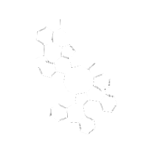 C=C1CC2C(CCC3N(c4ccccc4)C(c4ccccc4C)=C(c4ccccc4C)N3c3ccccc31)c1ccccc1-c1n(-c3c(C(C)C)cccc3C(C)C)cc[n+]12